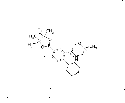 C[C@H]1CN[C@H](c2cc(B3OC(C)(C)C(C)(C)O3)ccc2C2CCOCC2)CO1